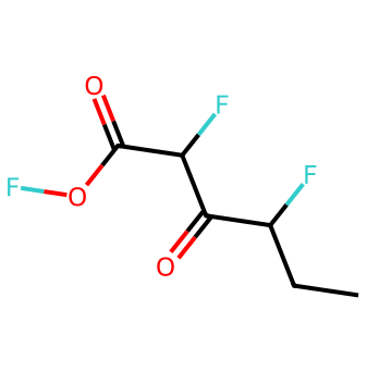 CCC(F)C(=O)C(F)C(=O)OF